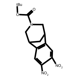 CC(C)(C)OC(=O)N1CC2CC(C1)c1cc([N+](=O)[O-])c([N+](=O)[O-])cc12